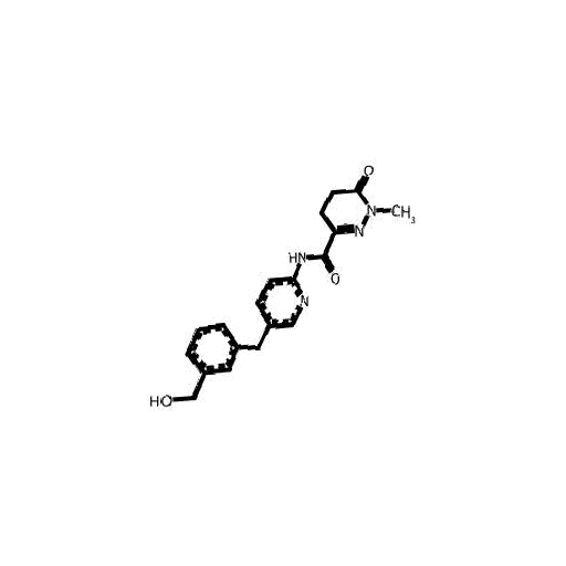 CN1N=C(C(=O)Nc2ccc(Cc3cccc(CO)c3)cn2)CCC1=O